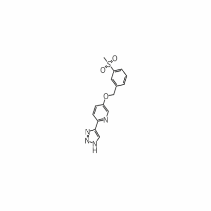 CS(=O)(=O)c1cccc(COc2ccc(-c3c[nH]nn3)nc2)c1